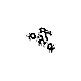 Cc1[nH]c2cccc(Cl)c2c1CCN(C(=O)c1cnn([C@H]2CC[C@](C)(C(=O)O)CC2)c1C(F)(F)F)[C@@H]1C[C@@H]2[C@H](C1)C2(C)C